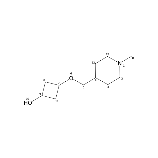 CN1CCC(COC2CC(O)C2)CC1